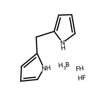 B.F.F.c1c[nH]c(Cc2ccc[nH]2)c1